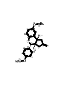 C=C1C[C@H]2[C@@H](C1)c1cc(OCCCC)ccc1O[C@H]2c1ccc(OCCCC)cc1